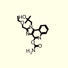 CCOCc1nc2c(OC(N)=O)nc3ccccc3c2n1CC(C)(C)O